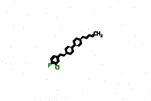 C=CCCC[C@H]1CC[C@H]([C@H]2CC[C@H](CCc3ccc(F)c(Cl)c3)CC2)CC1